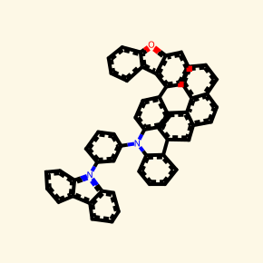 c1cc(N(c2ccc(-c3cccc4oc5ccccc5c34)cc2)c2ccccc2-c2ccc3c(ccc4ccccc43)c2)cc(-n2c3ccccc3c3ccccc32)c1